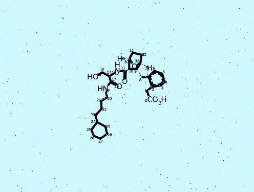 O=C(O)Cc1ccccc1C[C@@H]1[C@H](C(=O)NC(CO)C(=O)NCCCCC2CCCCC2)[C@H]2CC[C@@H]1O2